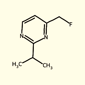 CC(C)c1nccc(CF)n1